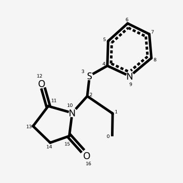 CCC(Sc1ccccn1)N1C(=O)CCC1=O